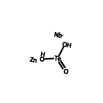 O=[Te](O)O.[Nb].[Zn]